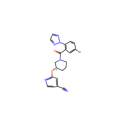 N#Cc1ccnc(O[C@@H]2CCCN(C(=O)c3cc(Br)ccc3-n3nccn3)C2)c1